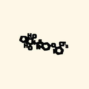 O=C1[C@@H]2C3C=CC(C3)[C@@H]2C(=O)N1c1nc2ccc(Oc3ncccc3C(F)(F)F)cc2s1